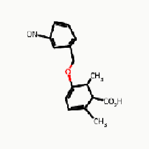 CC1=CC=C(OCc2cccc(N=O)c2)C(C)C1C(=O)O